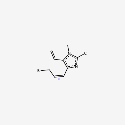 C=Cc1c(/C=C\CBr)nc(Cl)n1C